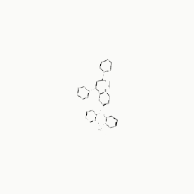 O=S1(=O)c2ccccc2N(c2ccc3nc(-c4ccccc4)cc(-c4ccccc4)c3c2)c2ccccc21